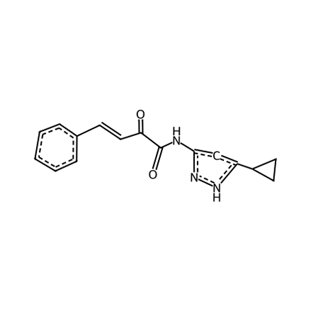 O=C(C=Cc1ccccc1)C(=O)Nc1cc(C2CC2)[nH]n1